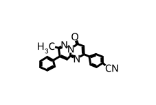 Cc1nn2c(=O)cc(-c3ccc(C#N)cc3)nc2cc1-c1ccccc1